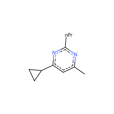 CCCc1nc(C)cc(C2CC2)n1